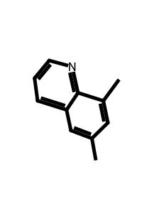 Cc1cc(C)c2ncccc2c1